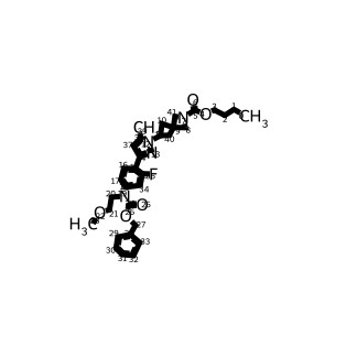 CCCCOC(=O)N1CC2(CC(n3nc(-c4ccc(N(CCOC)C(=O)OCc5ccccc5)cc4F)cc3C)C2)C1